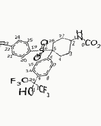 O=C(O)NC1CCC(c2ccc(C(O)(C(F)(F)F)C(F)(F)F)cc2)(S(=O)(=O)c2ccc(F)cc2)CC1